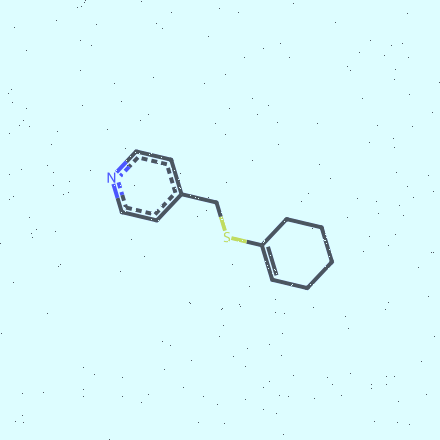 C1=C(SCc2ccncc2)CCCC1